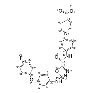 COC(=O)C1CCN(c2ccc(NC(=O)c3nnc(Nc4ccc(Oc5ccc(F)cc5)cc4)o3)cn2)CC1